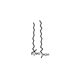 CCCCCCCCCCCC(C)(C)[NH2+][O-].CCCCCCCCCCCCCN(C)O